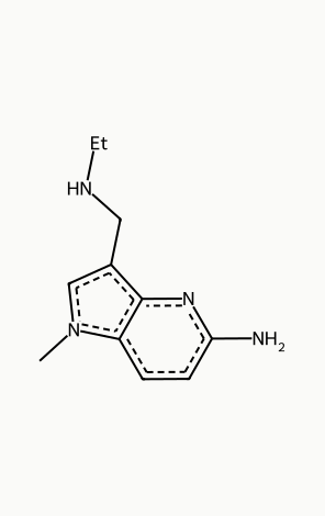 CCNCc1cn(C)c2ccc(N)nc12